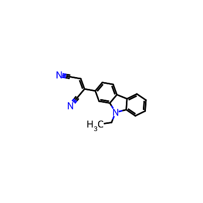 CCn1c2ccccc2c2ccc(/C(C#N)=C/C#N)cc21